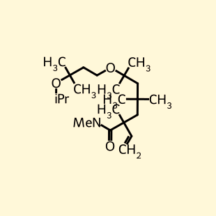 C=CC(C)(CC(C)(C)CC(C)(C)OCCC(C)(C)OC(C)C)C(=O)NC